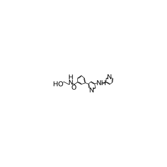 O=C(NCCO)c1cccc(-c2cncc(NCc3cccnc3)c2)c1